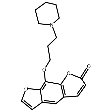 O=c1ccc2cc3ccoc3c(OCCCN3CCCCC3)c2o1